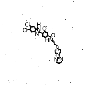 COc1cc(C(=O)NCCCN2CCN(c3ncccn3)CC2)ccc1-c1nc2cc(Cl)c(Cl)cc2[nH]1